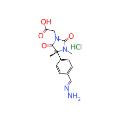 CN1C(=O)N(CC(=O)O)C(=O)[C@@]1(C)c1ccc(C=NN)cc1.Cl